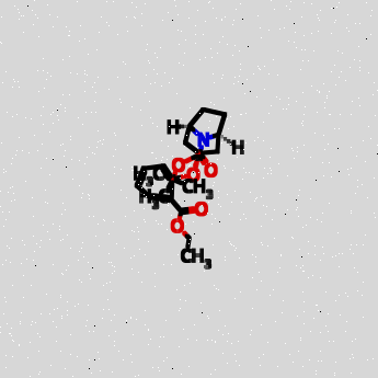 CCOC(=O)c1ccccc1O[C@H]1C[C@H]2CC[C@@H](C1)N2C(=O)OC(C)(C)C